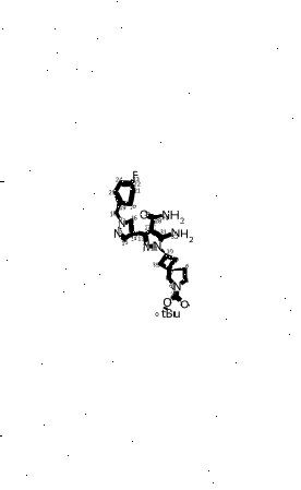 CC(C)(C)OC(=O)N1CC[C@]2(C1)C[C@H](n1nc(-c3cnn(Cc4ccc(F)cc4)c3)c(C(N)=O)c1N)C2